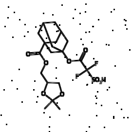 CC1(C)OCC(COC(=O)C23CC4CC(CC(OC(=O)C(F)(F)S(=O)(=O)O)(C4)C2)C3)O1